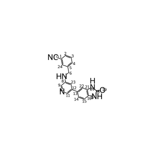 N#Cc1cccc(CNc2cncc(-c3ccc4[nH]c(=O)[nH]c4c3)c2)c1